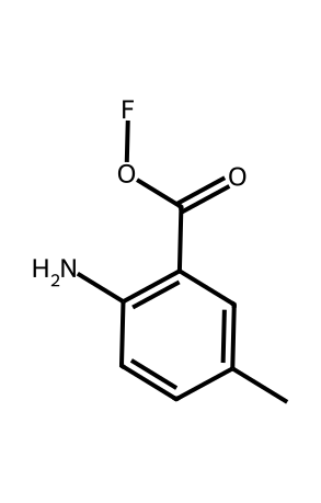 Cc1ccc(N)c(C(=O)OF)c1